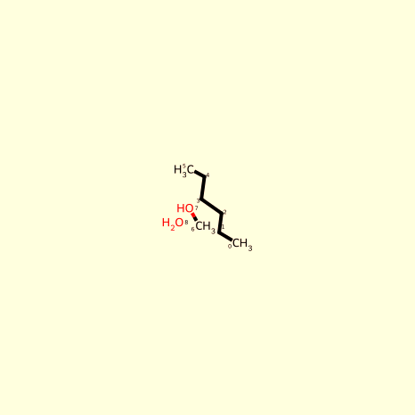 CCCCCC.CO.O